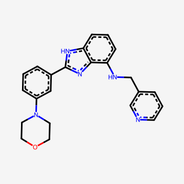 c1cncc(CNc2cccc3[nH]c(-c4cccc(N5CCOCC5)c4)nc23)c1